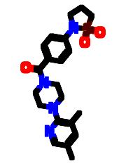 Cc1cnc(N2CCN(C(=O)c3ccc(N4CCCS4(=O)=O)cc3)CC2)c(C)c1